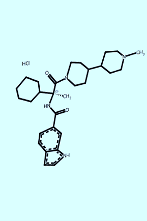 CN1CCC(C2CCN(C(=O)[C@@](C)(NC(=O)c3ccc4cc[nH]c4c3)C3CCCCC3)CC2)CC1.Cl